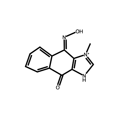 C[n+]1c[nH]c2c1C(=NO)c1ccccc1C2=O